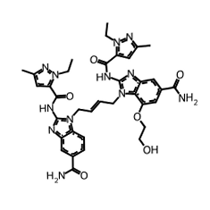 CCn1nc(C)cc1C(=O)Nc1nc2cc(C(N)=O)ccc2n1CC=CCn1c(NC(=O)c2cc(C)nn2CC)nc2cc(C(N)=O)cc(OCCO)c21